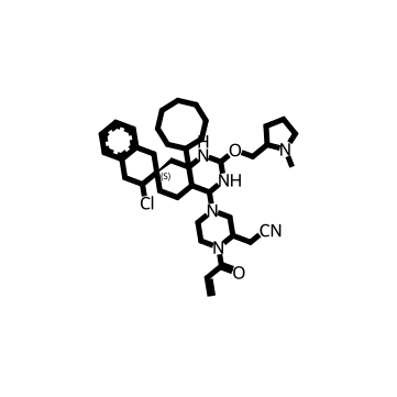 C=CC(=O)N1CCN(C2NC(OCC3CCCN3C)NC3(C4CCCCCCC4)C[C@]4(CCC23)Cc2ccccc2CC4Cl)CC1CC#N